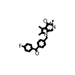 Cc1c(C)n(Cc2ccc(C(=O)c3ccc(F)cc3)cc2)c2cnn(C)c(=O)c12